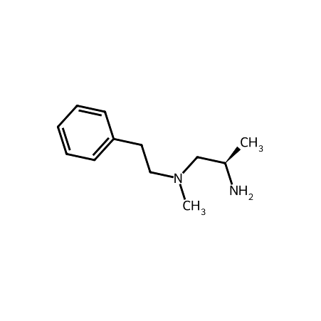 C[C@@H](N)CN(C)CCc1ccccc1